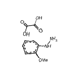 COc1ccccc1NN.O=C(O)C(=O)O